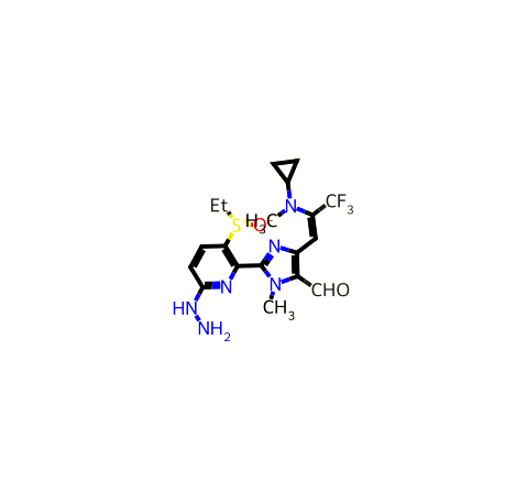 CC[S+]([O-])c1ccc(NN)nc1-c1nc(/C=C(\N(C)C2CC2)C(F)(F)F)c(C=O)n1C